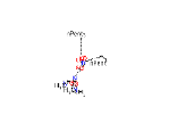 CCCCC/C=C\C/C=C\CCCCCCCCOC(=O)C1CC(OC(=O)CCCCN2CC(OCCN(C)C)C(OCCN(C)C)C2)CN1C(=O)CCCCCCC/C=C\C/C=C\CCCCC